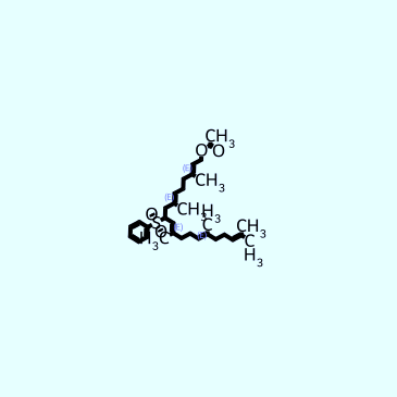 CC(=O)OC/C=C(\C)CC/C=C(\C)CC(/C=C(\C)CC/C=C(\C)CCC=C(C)C)S(=O)(=O)c1ccccc1